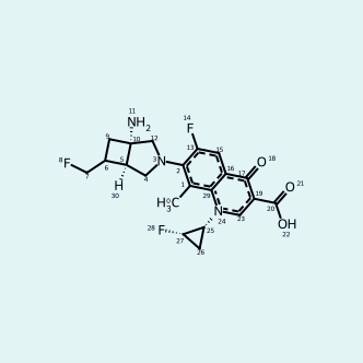 Cc1c(N2C[C@H]3C(CF)C[C@@]3(N)C2)c(F)cc2c(=O)c(C(=O)O)cn([C@@H]3C[C@@H]3F)c12